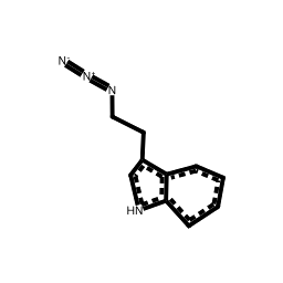 [N-]=[N+]=NCCc1c[nH]c2ccccc12